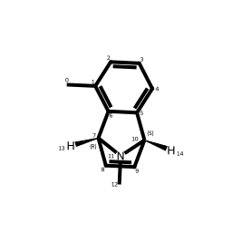 Cc1cccc2c1[C@H]1C=C[C@@H]2N1C